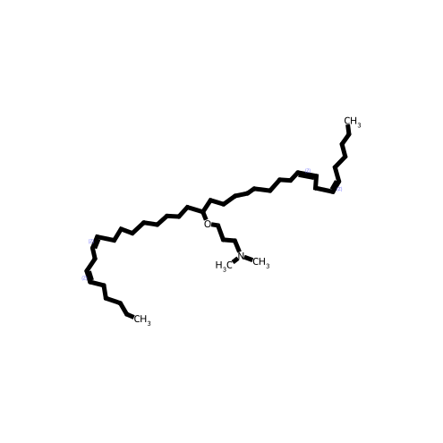 CCCCC/C=C\C/C=C\CCCCCCCCC(CCCCCCCC/C=C\C/C=C\CCCCC)OCCCN(C)C